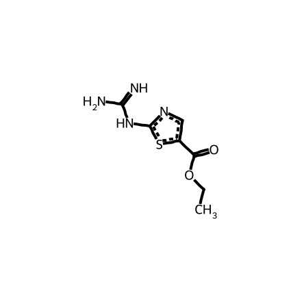 CCOC(=O)c1cnc(NC(=N)N)s1